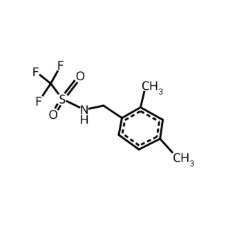 Cc1ccc(CNS(=O)(=O)C(F)(F)F)c(C)c1